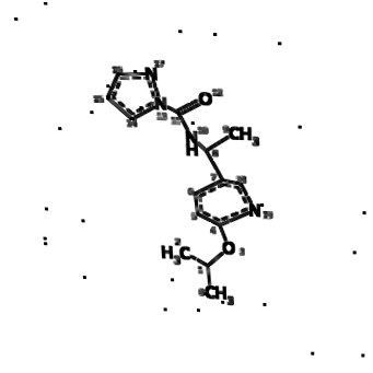 CC(C)Oc1ccc(C(C)NC(=O)n2cccn2)cn1